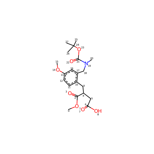 COC(=O)C(CC(=O)O)Cc1ccc(OC)cc1CN(C)C(=O)OC(C)(C)C